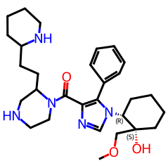 COC[C@]1(O)CCCC[C@H]1n1cnc(C(=O)N2CCNCC2CCC2CCCCN2)c1-c1ccccc1